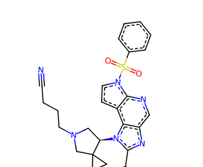 CC(O)c1nc2cnc3c(ccn3S(=O)(=O)c3ccccc3)c2n1[C@@H]1CN(CCCC#N)CC12CC2